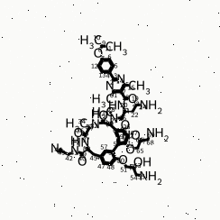 Cc1nc(-c2ccc(OC(C)C)cc2)nc(C)c1C(=O)N[C@@H](CCN)C(=O)N(C)[C@@H]1C(=O)N[C@@H](C)C(=O)N[C@H](C(=O)NCC#N)Cc2ccc(OC[C@H](O)CN)c(c2)-c2cc1ccc2OC[C@H](O)CN